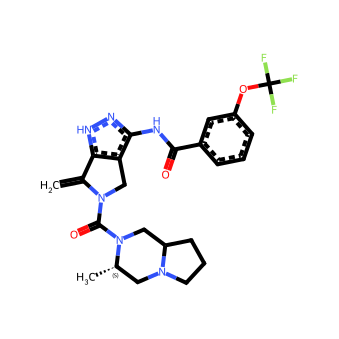 C=C1c2[nH]nc(NC(=O)c3cccc(OC(F)(F)F)c3)c2CN1C(=O)N1CC2CCCN2C[C@@H]1C